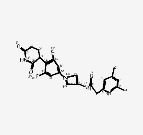 Cc1cc(C)nc(CC(=O)NC2CN(c3cc(F)c(C4CCC(=O)NC4=O)c(F)c3)C2)c1